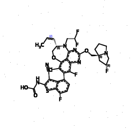 C/C=C\[C@H]1COc2c(Cl)c(-c3ccc(F)c4sc(NC(=O)O)c(C#N)c34)c(F)c3nc(OC[C@@]45CCCN4C[C@H](F)C5)nc(c23)N1CC(F)F